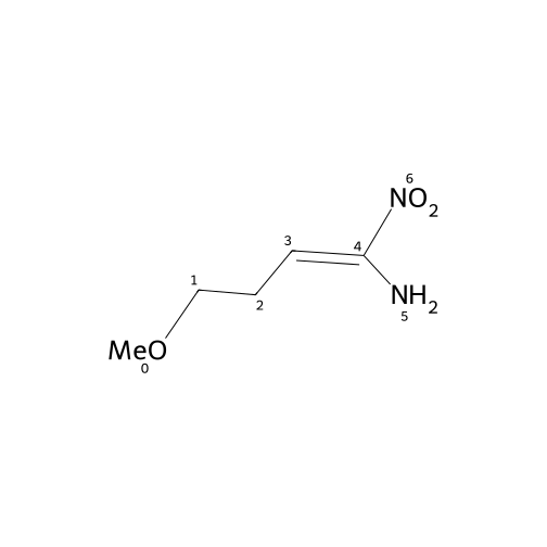 COCCC=C(N)[N+](=O)[O-]